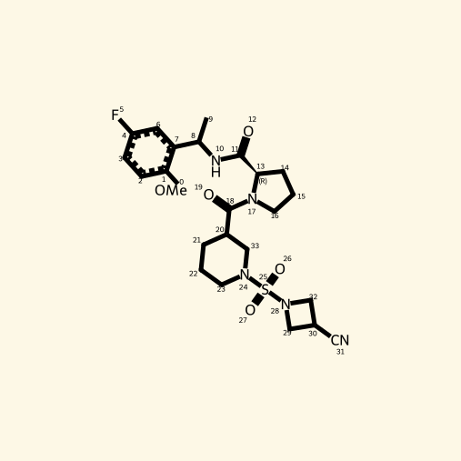 COc1ccc(F)cc1C(C)NC(=O)[C@H]1CCCN1C(=O)C1CCCN(S(=O)(=O)N2CC(C#N)C2)C1